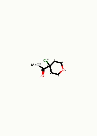 COC(=O)C1(Cl)CCOCC1